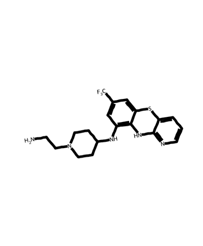 NCCN1CCC(Nc2cc(C(F)(F)F)cc3c2Nc2ncccc2S3)CC1